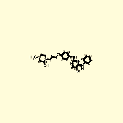 CN1CCN(CCCOc2ccc(Nc3ncc(Br)c(Nc4ccccc4)n3)cc2)C(O)C1